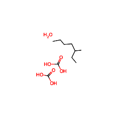 CCCCC(C)CC.O.O=C(O)O.O=C(O)O